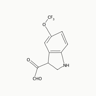 O=CC(=O)C1CNc2ccc(OC(F)(F)F)cc21